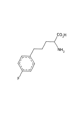 NC(CCCc1ccc(F)cc1)C(=O)O